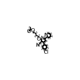 CC(=O)OCCCCOc1nc(-c2ccccn2)cc(-c2ccc(Cl)cc2)c1C#N